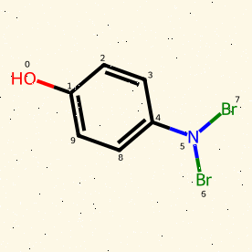 Oc1ccc(N(Br)Br)cc1